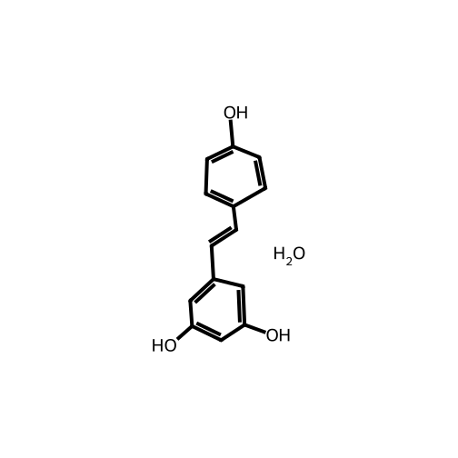 O.Oc1ccc(C=Cc2cc(O)cc(O)c2)cc1